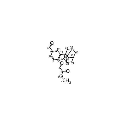 COC(=O)COc1ccc(C=O)cc1C12CC3CC(CC(C3)C1)C2